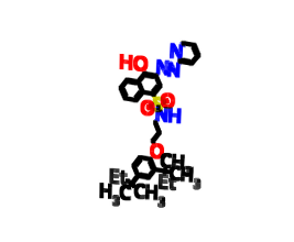 CCC(C)(C)c1ccc(OCCCNS(=O)(=O)c2cc(/N=N/c3ccccn3)c(O)c3ccccc23)c(C(C)(C)CC)c1